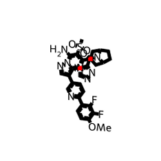 COc1ccc(-c2ccc(-c3cnn4c(N)c(S(C)(=O)=O)c(C5CC6CCC(C5)N6C(=O)c5nnc[nH]5)nc34)cn2)c(F)c1F